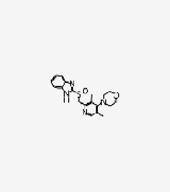 Cc1cnc(C[S+]([O-])c2nc3ccccc3[nH]2)c(C)c1N1CCOCC1